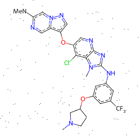 CNc1cn2ncc(Oc3cnc4nc(Nc5cc(OC6CCN(C)C6)cc(C(F)(F)F)c5)n(C)c4c3Cl)c2cn1